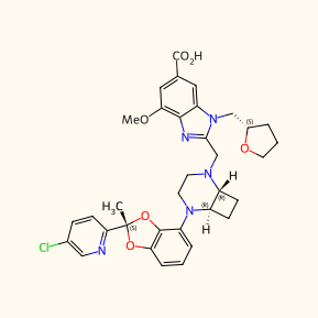 COc1cc(C(=O)O)cc2c1nc(CN1CCN(c3cccc4c3O[C@@](C)(c3ccc(Cl)cn3)O4)[C@@H]3CC[C@H]31)n2C[C@@H]1CCCO1